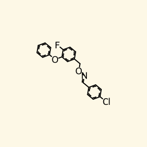 Fc1ccc(CON=Cc2ccc(Cl)cc2)cc1Oc1ccccc1